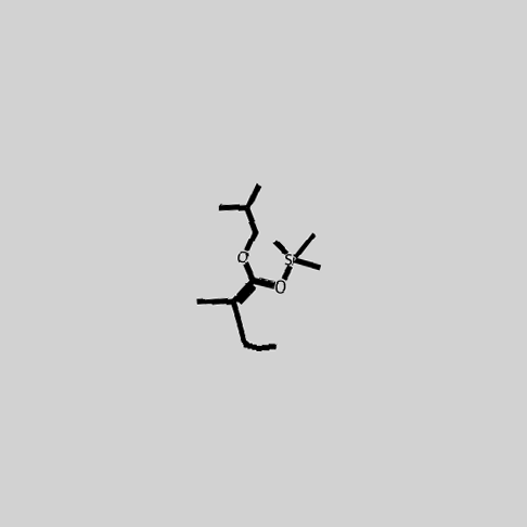 CCC(C)=C(OCC(C)C)O[Si](C)(C)C